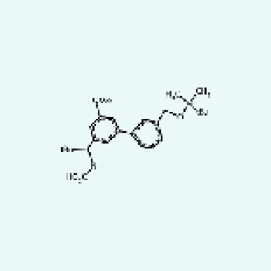 COc1cc(-c2cccc(CO[Si](C)(C)C(C)(C)C)c2)cc(C(NC(=O)O)C(C)(C)C)c1